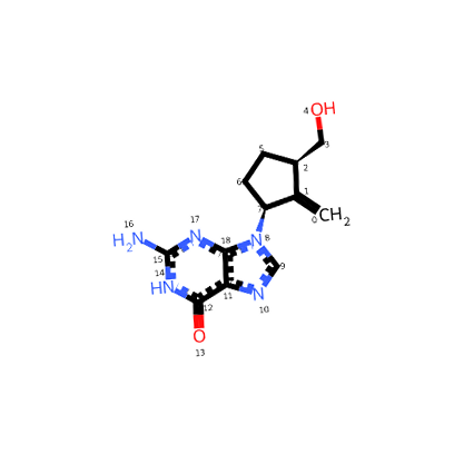 C=C1[C@H](CO)CC[C@@H]1n1cnc2c(=O)[nH]c(N)nc21